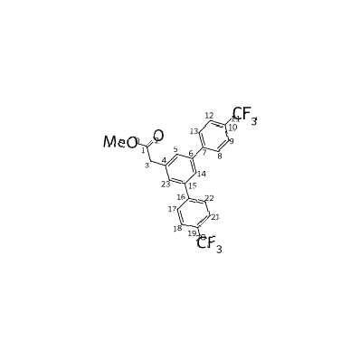 COC(=O)Cc1cc(-c2ccc(C(F)(F)F)cc2)cc(-c2ccc(C(F)(F)F)cc2)c1